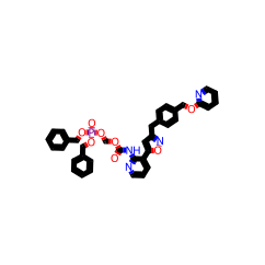 O=C(Nc1ncccc1-c1cc(Cc2ccc(COc3ccccn3)cc2)no1)OCOP(=O)(OCc1ccccc1)OCc1ccccc1